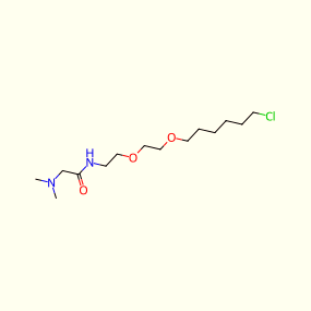 CN(C)CC(=O)NCCOCCOCCCCCCCl